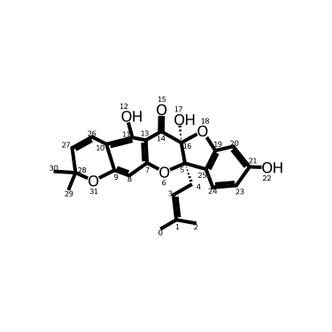 CC(C)=CC[C@]12Oc3cc4c(c(O)c3C(=O)[C@@]1(O)Oc1cc(O)ccc12)C=CC(C)(C)O4